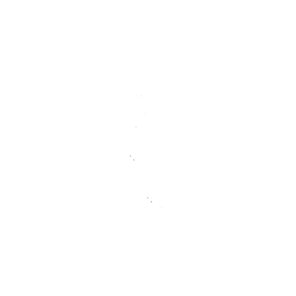 CC(C)(CN1CC(N)C1)C(=O)O